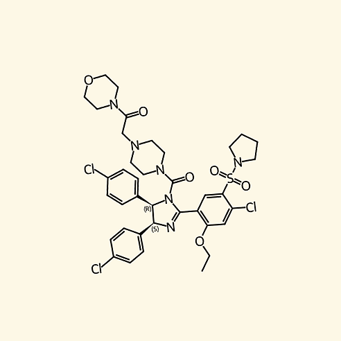 CCOc1cc(Cl)c(S(=O)(=O)N2CCCC2)cc1C1=N[C@@H](c2ccc(Cl)cc2)[C@@H](c2ccc(Cl)cc2)N1C(=O)N1CCN(CC(=O)N2CCOCC2)CC1